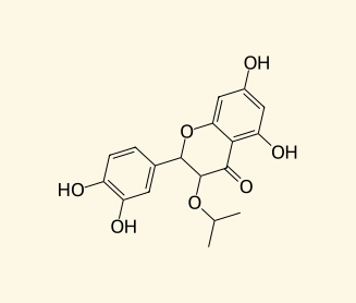 CC(C)OC1C(=O)c2c(O)cc(O)cc2OC1c1ccc(O)c(O)c1